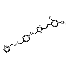 Fc1cc(C(F)(F)F)ccc1C=Cc1nc(COc2ccc(CSCCn3ccnn3)cc2)co1